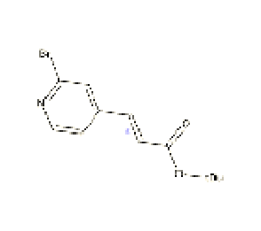 CC(C)(C)OC(=O)/C=C/c1ccnc(Br)c1